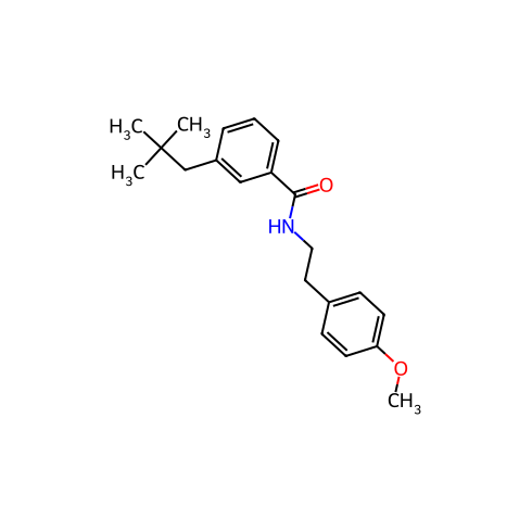 COc1ccc(CCNC(=O)c2cccc(CC(C)(C)C)c2)cc1